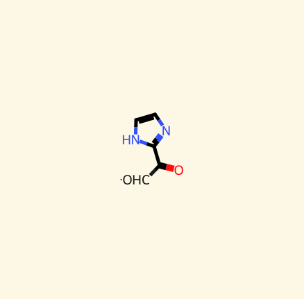 O=[C]C(=O)c1ncc[nH]1